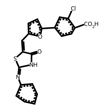 O=C1N/C(=N\c2ccccc2)S/C1=C/c1ccc(-c2ccc(C(=O)O)c(Cl)c2)o1